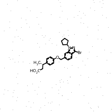 C[C@@H](CC(=O)O)c1ccc(OCc2ccc3c(Br)nn(C4CCCC4)c3c2)cc1